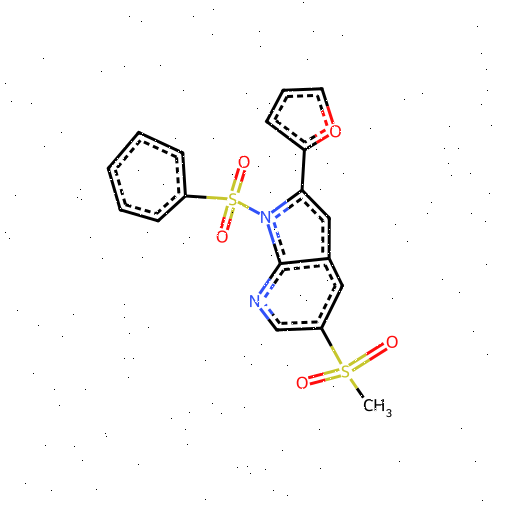 CS(=O)(=O)c1cnc2c(c1)cc(-c1ccco1)n2S(=O)(=O)c1ccccc1